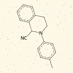 Cc1ccc(N2CCc3ccccc3C2C#N)cc1